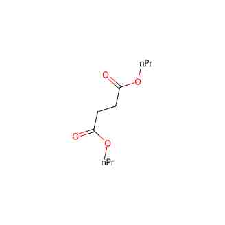 CCCOC(=O)CCC(=O)OCCC